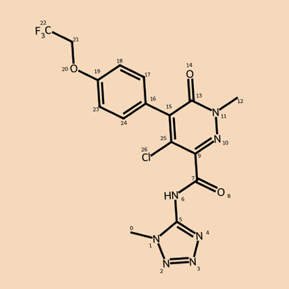 Cn1nnnc1NC(=O)c1nn(C)c(=O)c(-c2ccc(OCC(F)(F)F)cc2)c1Cl